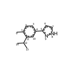 Cc1ccc(-c2cc[nH]n2)cc1C(C)C